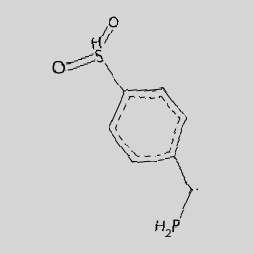 O=[SH](=O)c1ccc([CH]P)cc1